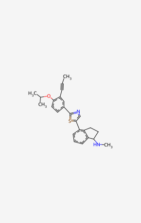 CC#Cc1cc(-c2ncc(-c3cccc4c3CCC4NC)s2)ccc1OC(C)C